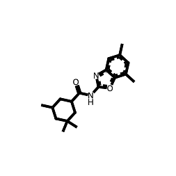 Cc1cc(C)c2oc(NC(=O)C3CC(C)CC(C)(C)C3)nc2c1